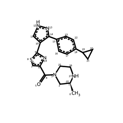 C[C@H]1CN(C(=O)c2csc(-c3c[nH]nc3-c3ccc(C4CC4)cc3)n2)CCN1